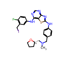 CN(Cc1ccc(Nc2nc3ncnc(Nc4ccc(F)c(CI)c4)c3s2)cc1)C[C@@H]1CCCO1